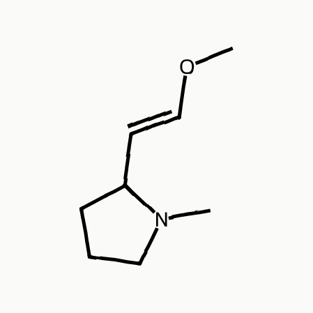 COC=CC1CCCN1C